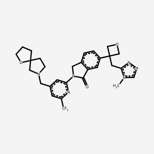 Cn1cnnc1CC1(c2ccc3c(c2)C(=O)N(c2cc(CN4CCC5(CCCO5)C4)cc(C(F)(F)F)n2)C3)COC1